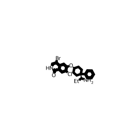 CCC(N)[C@]1(c2ccccc2)CC[C@H](Oc2cc3c(Br)c[nH]c(=O)c3cc2Cl)CC1